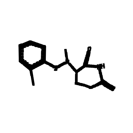 C=C1CCC(N(C)Sc2ccccc2C)C(=O)N1